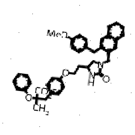 CCOC(=O)C(C)(Cc1ccc(OCCC2CN(Cc3cc4ccccc4cc3Cc3ccc(OC)cc3)C(=O)N2)cc1)Oc1ccccc1